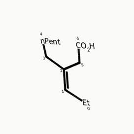 CCC=C(CCCCCC)CC(=O)O